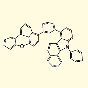 c1ccc(-n2c3cccc(-c4cccc(-c5ccc6c7c(cccc57)-c5ccccc5O6)c4)c3c3ccc4ccccc4c32)cc1